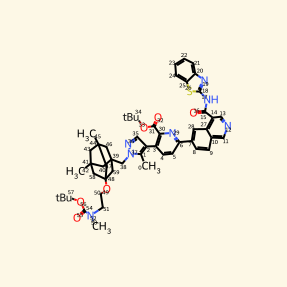 Cc1c(-c2ccc(-c3ccc4cncc(C(=O)Nc5nc6ccccc6s5)c4c3)nc2C(=O)OC(C)(C)C)cnn1CC12CC3(C)CC(C)(C1)CC(OCCN(C)C(=O)OC(C)(C)C)(C3)C2